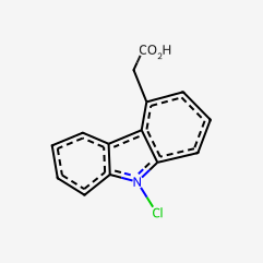 O=C(O)Cc1cccc2c1c1ccccc1n2Cl